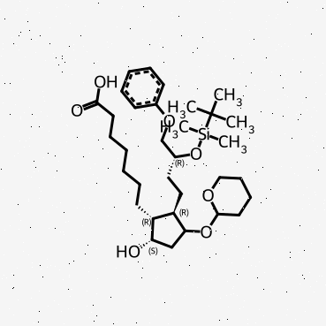 CC(C)(C)[Si](C)(C)O[C@H](CC[C@H]1C(OC2CCCCO2)C[C@H](O)[C@@H]1CCCCCCC(=O)O)COc1ccccc1